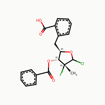 C[C@]1(F)C(Cl)O[C@H](Cc2ccccc2C(=O)O)[C@H]1OC(=O)c1ccccc1